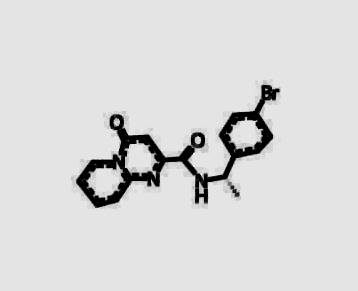 C[C@H](NC(=O)c1cc(=O)n2ccccc2n1)c1ccc(Br)cc1